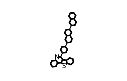 c1ccc2cc(-c3ccc4cc(-c5ccc(-c6nc7ccccc7c7sc8ccccc8c67)cc5)ccc4c3)ccc2c1